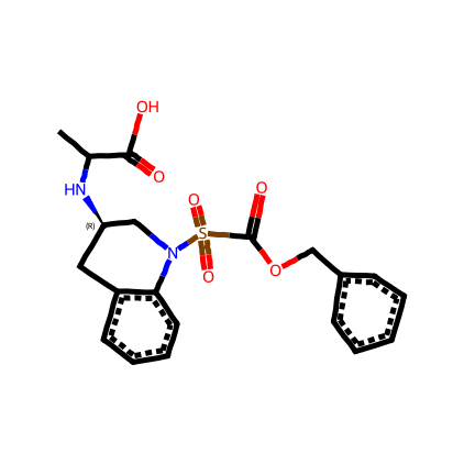 CC(N[C@@H]1Cc2ccccc2N(S(=O)(=O)C(=O)OCc2ccccc2)C1)C(=O)O